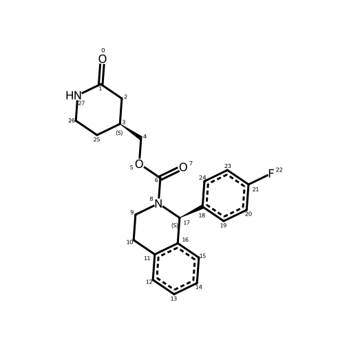 O=C1C[C@@H](COC(=O)N2CCc3ccccc3[C@@H]2c2ccc(F)cc2)CCN1